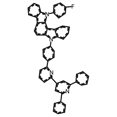 Fc1ccc(-n2c3ccccc3c3ccc4c(c5ccccc5n4-c4ccc(-c5cccc(-c6cc(-c7ccccc7)nc(-c7ccccc7)c6)n5)cc4)c32)cc1